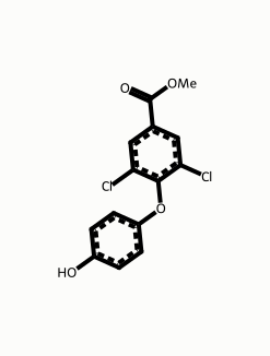 COC(=O)c1cc(Cl)c(Oc2ccc(O)cc2)c(Cl)c1